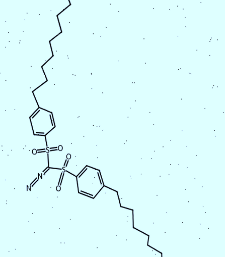 CCCCCCCCCc1ccc(S(=O)(=O)C(=[N+]=[N-])S(=O)(=O)c2ccc(CCCCCCCCC)cc2)cc1